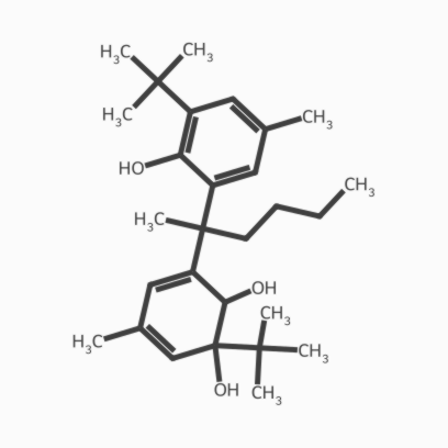 CCCCC(C)(C1=CC(C)=CC(O)(C(C)(C)C)C1O)c1cc(C)cc(C(C)(C)C)c1O